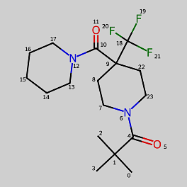 CC(C)(C)C(=O)N1CCC(C(=O)N2CCCCC2)(C(F)(F)F)CC1